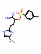 Cc1ccc(S(=O)(=O)OC(CCc2nc([N+](=O)[O-])c[nH]2)C(=N)N)cc1